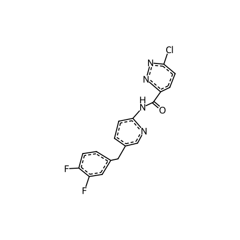 O=C(Nc1ccc(Cc2ccc(F)c(F)c2)cn1)c1ccc(Cl)nn1